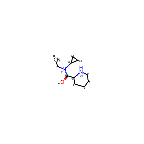 N#CCN(C(=O)C1CCCCN1)C1CC1